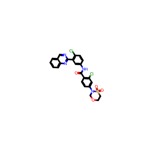 O=C(Nc1ccc(Cl)c(-c2ncc3ccccc3n2)c1)c1ccc(N2COCCS2(=O)=O)cc1Cl